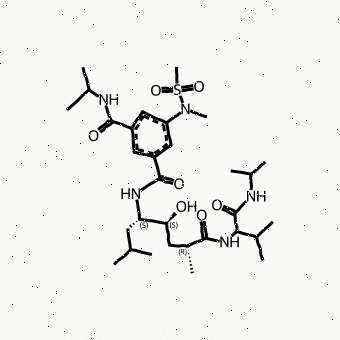 CC(C)C[C@H](NC(=O)c1cc(C(=O)NC(C)C)cc(N(C)S(C)(=O)=O)c1)[C@@H](O)C[C@@H](C)C(=O)NC(C(=O)NC(C)C)C(C)C